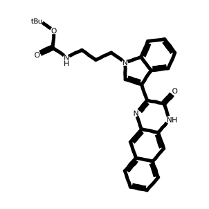 CC(C)(C)OC(=O)NCCCn1cc(-c2nc3cc4ccccc4cc3[nH]c2=O)c2ccccc21